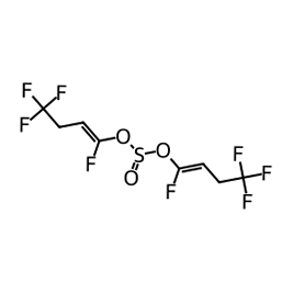 O=S(OC(F)=CCC(F)(F)F)OC(F)=CCC(F)(F)F